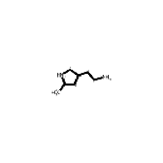 CC1CC(CCN)CN1